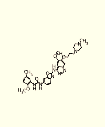 COc1ccc(C)cc1NC(=O)Nc1ccc2nc(Nc3ncnc4cc(OCCCN5CCN(C)CC5)c(OC)cc34)oc2c1